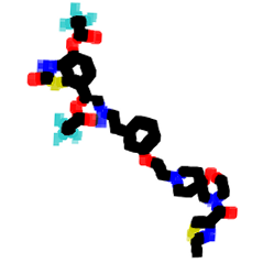 Cc1nc(C(=O)N2CCOC3(CCN(CCOc4cccc(CCNC[C@H](OC(=O)C(F)(F)F)c5ccc(OC(=O)C(F)(F)F)c6[nH]c(=O)sc56)c4)CC3)C2)cs1